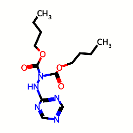 CCCCOC(=O)N(Nc1ncncn1)C(=O)OCCCC